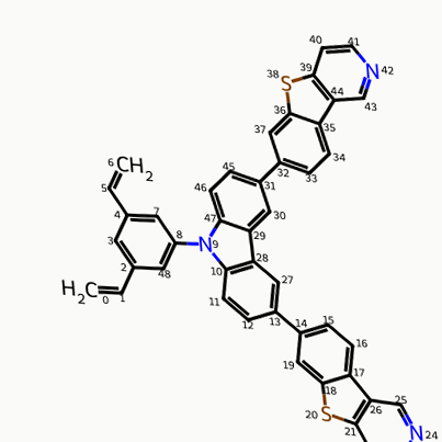 C=Cc1cc(C=C)cc(-n2c3ccc(-c4ccc5c(c4)sc4ccncc45)cc3c3cc(-c4ccc5c(c4)sc4ccncc45)ccc32)c1